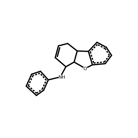 C1=CC(Nc2ccccc2)C2Oc3ccccc3C2C1